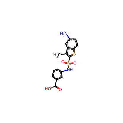 Cc1c(S(=O)(=O)Nc2cccc(C(=O)O)c2)sc2ccc(N)cc12